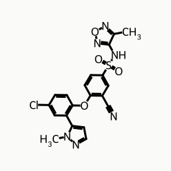 Cc1nonc1NS(=O)(=O)c1ccc(Oc2ccc(Cl)cc2-c2ccnn2C)c(C#N)c1